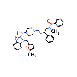 Cc1ccc(Cn2c(NC3CCN(CCC(CN(C)C(=O)c4ccccc4)c4ccccc4)CC3)nc3ccccc32)o1